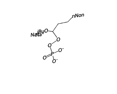 CCCCCCCCCCCC(OCC(C)C)OOP(=O)([O-])[O-].[Na+].[Na+]